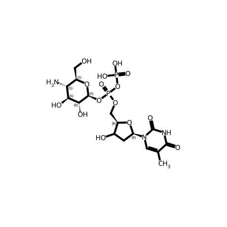 Cc1cn([C@H]2CC(O)[C@@H](COP(=O)(O[C@@H]3O[C@H](CO)[C@@H](N)[C@H](O)[C@H]3O)OP(=O)(O)O)O2)c(=O)[nH]c1=O